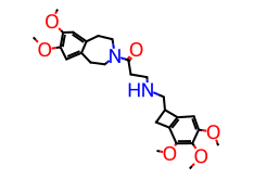 COc1cc2c(cc1OC)CCN(C(=O)CCNCC1Cc3c1cc(OC)c(OC)c3OC)CC2